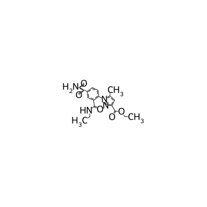 CCNC(=O)c1cc(S(N)(=O)=O)ccc1-n1nc(C(=O)OCC)cc1C